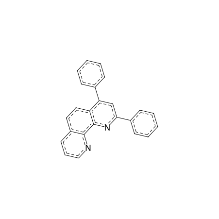 c1ccc(-c2cc(-c3ccccc3)c3ccc4cccnc4c3n2)cc1